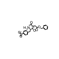 CC(=O)N(CC(=O)OCc1ccccc1)C(=O)[C@@H](N)Cc1ccc([N+](=O)[O-])cc1